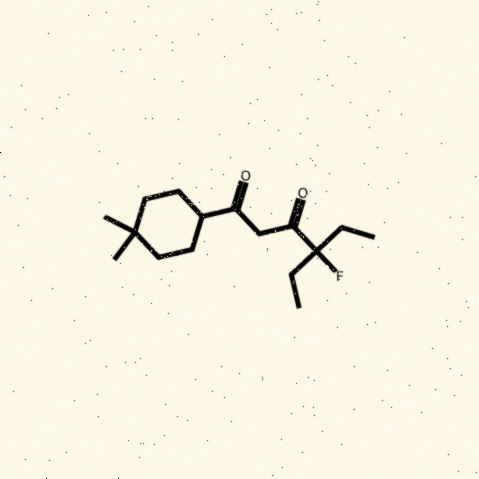 CCC(F)(CC)C(=O)CC(=O)C1CCC(C)(C)CC1